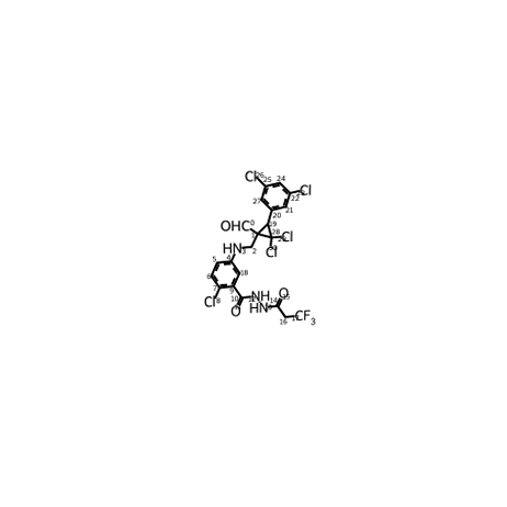 O=CC1(CNc2ccc(Cl)c(C(=O)NNC(=O)CC(F)(F)F)c2)C(c2cc(Cl)cc(Cl)c2)C1(Cl)Cl